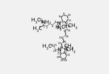 C=C(CCCCNc1ccccc1C(C)(C)C/C=C/C=C/C=C1/N(CCC)c2ccccc2C1(C)C)NC